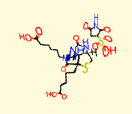 O=C(O)CCCCCNC(=O)[C@@]1(CCCCC(=O)O)SC[C@@H]2NC(=O)N[C@@H]21.O=C1CC(S(=O)(=O)O)C(=O)N1